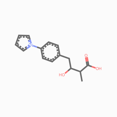 CC(C(=O)O)C(O)Cc1ccc(-n2cccc2)cc1